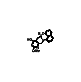 COc1nc(O)c2c(n1)CN(c1cccc3cccc(C)c13)CC2